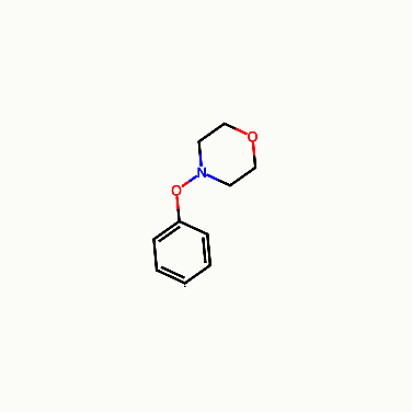 [c]1ccc(ON2CCOCC2)cc1